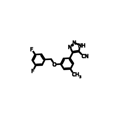 Cc1cc(OCc2cc(F)cc(F)c2)cc(-c2nn[nH]c2C#N)c1